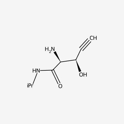 C#C[C@@H](O)[C@H](N)C(=O)NC(C)C